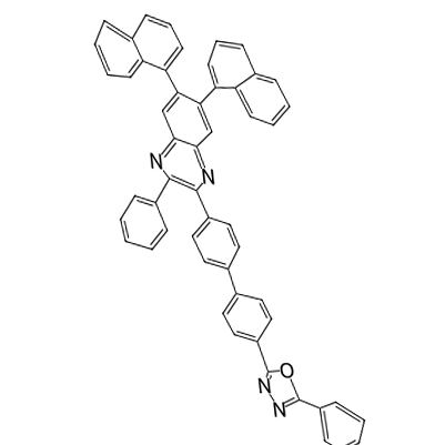 c1ccc(-c2nnc(-c3ccc(-c4ccc(-c5nc6cc(-c7cccc8ccccc78)c(-c7cccc8ccccc78)cc6nc5-c5ccccc5)cc4)cc3)o2)cc1